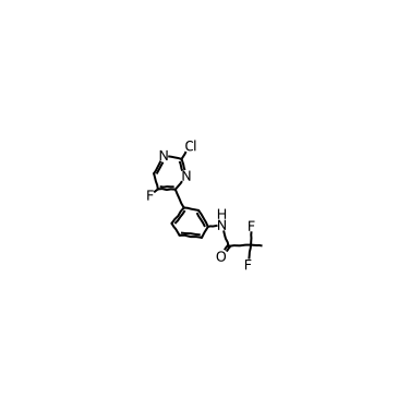 CC(F)(F)C(=O)Nc1cccc(-c2nc(Cl)ncc2F)c1